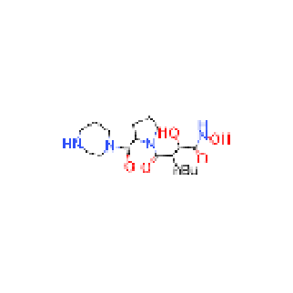 CCCCC(C(=O)N1CCCC1C(=O)N1CCCNCC1)C(O)C(=O)NO